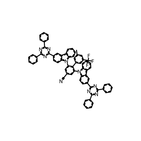 Cc1cc(-c2c(-n3c4ccccc4c4cc(-c5nc(-c6ccccc6)nc(-c6ccccc6)n5)ccc43)cc(C#N)cc2-n2c3ccccc3c3cc(-c4nc(-c5ccccc5)nc(-c5ccccc5)n4)ccc32)cc(C(F)(F)F)c1